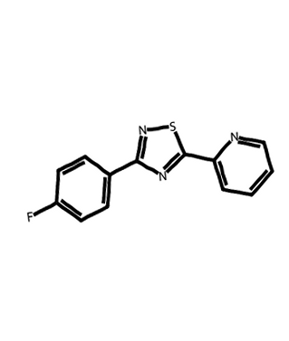 Fc1ccc(-c2nsc(-c3ccccn3)n2)cc1